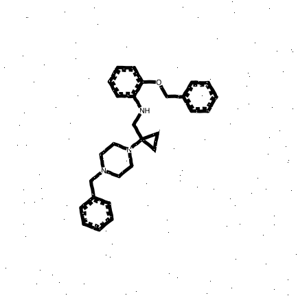 c1ccc(COc2ccccc2NCC2(N3CCN(Cc4ccccc4)CC3)CC2)cc1